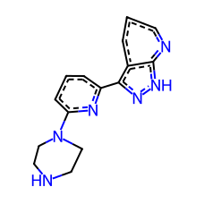 c1cc(-c2n[nH]c3ncccc23)nc(N2CCNCC2)c1